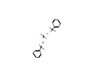 CC(C)(OOC(C)(C)c1ccccc1)OOC(C)(C)c1ccccc1